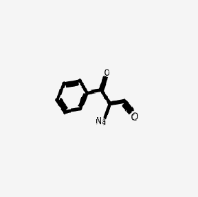 O=C[CH]([Na])C(=O)c1ccccc1